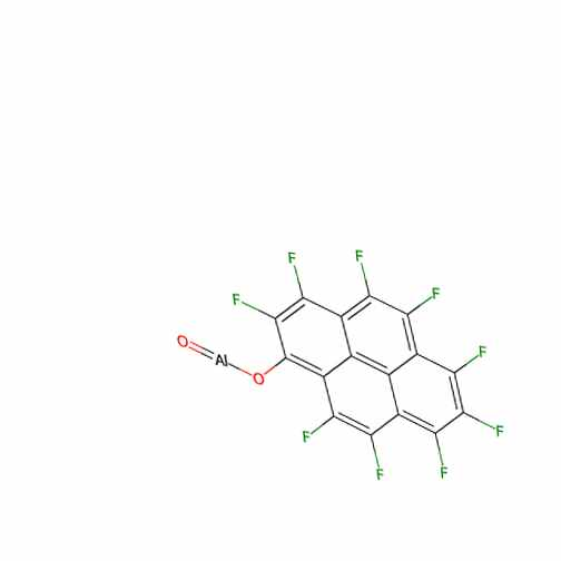 [O]=[Al][O]c1c(F)c(F)c2c(F)c(F)c3c(F)c(F)c(F)c4c(F)c(F)c1c2c34